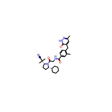 Cc1cc(Cc2ccc(C(=O)NCC(=O)N3[C@H](C4CCCCC4)CC[C@@H]3C(C)(C)C#N)cc2C)c(=O)[nH]n1